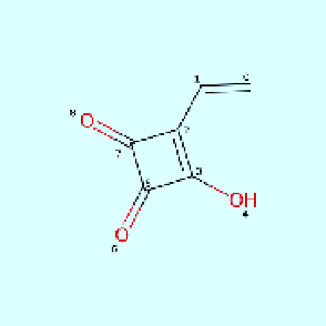 C=Cc1c(O)c(=O)c1=O